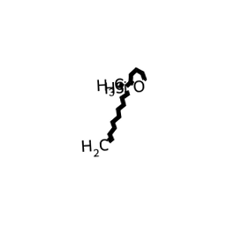 C=CCCCCCCCC[SiH](C)C1CCCCO1